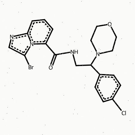 O=C(NCC(c1ccc(Cl)cc1)N1CCOCC1)c1cccc2ncc(Br)n12